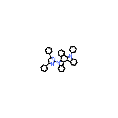 c1ccc(-c2cc(-c3ccccc3)nc(-n3c4ccccc4c4c5c6ccccc6n(-c6ccccc6)c5c5ccccc5c43)n2)cc1